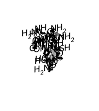 CC[C@H](C)[C@H](NC(=O)[C@@H]1C[C@@H](O)CN1C(=O)[C@@H](N)C(C)C)C(=O)N[C@H](C(=O)N[C@@H](Cc1ccc(O)cc1)C(=O)N[C@@H](CCN)C(=O)N[C@@H](CC(N)=O)C(=O)N[C@@H](CCCNC(=N)N)C(=O)N[C@@H](CCN)C(=O)N[C@H](C(=O)O)[C@@H](C)O)C(C)(C)S